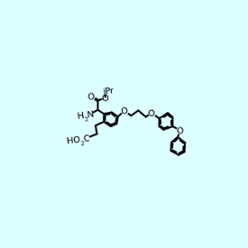 CC(C)OC(=O)C(N)c1cc(OCCCOc2ccc(Oc3ccccc3)cc2)ccc1CCC(=O)O